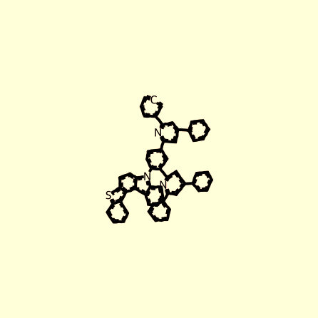 c1ccc(-c2cc(-c3ccccc3)nc(-c3ccc(-n4c5ccccc5c5c6c(ccc54)sc4ccccc46)c(-c4cc(-c5ccccc5)cc(-c5ccccc5)n4)c3)c2)cc1